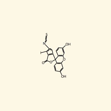 O=C1OC2(c3ccc(O)cc3Oc3cc(O)ccc32)c2ccc(N=C=S)c(I)c21